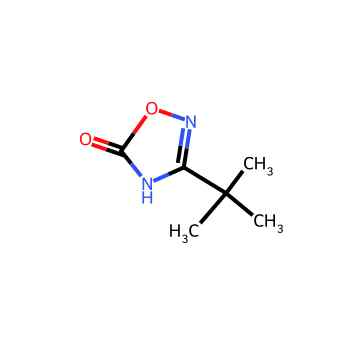 CC(C)(C)c1noc(=O)[nH]1